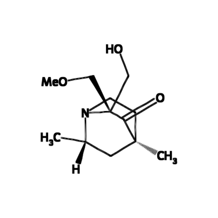 COC[C@@]1(CO)C(=O)[C@@]2(C)CCN1[C@@H](C)C2